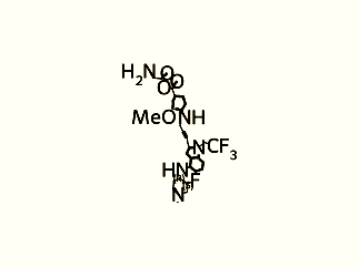 COc1cc(C(=O)OC(=O)CN)ccc1NCC#Cc1cc2c(N[C@@H]3CCN(C)C[C@@H]3F)cccc2n1CC(F)(F)F